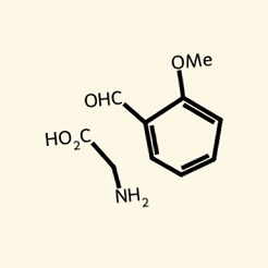 COc1ccccc1C=O.NCC(=O)O